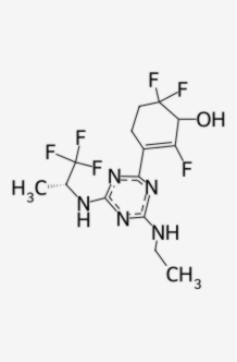 CCNc1nc(N[C@H](C)C(F)(F)F)nc(C2=C(F)C(O)C(F)(F)CC2)n1